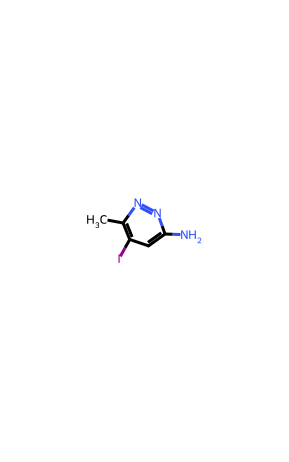 Cc1nnc(N)cc1I